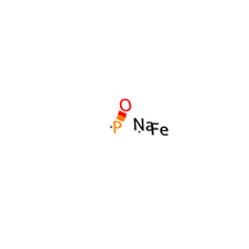 O=[P].[Fe].[Na]